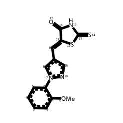 COc1ccccc1-n1cc(/C=C2\SC(=S)NC2=O)cn1